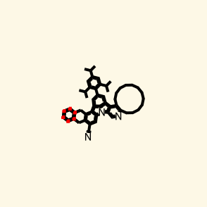 CC(C)c1cc(C(C)C)c(-c2cc3c4c5c(ncc4n4c6cc(C#N)c7c(c6c(c2)c34)C2c3ccccc3C7c3ccccc32)CCCCCCCCCCCC5)c(C(C)C)c1